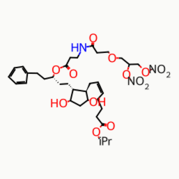 CC(C)OC(=O)CCC/C=C\C[C@@H]1[C@@H](CC[C@H](CCc2ccccc2)OC(=O)CCNC(=O)CCOCC(CO[N+](=O)[O-])O[N+](=O)[O-])[C@H](O)C[C@@H]1O